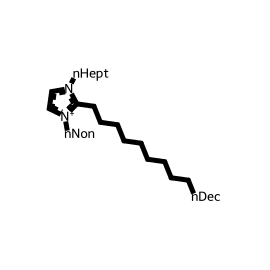 CCCCCCCCCCCCCCCCCCCc1n(CCCCCCC)cc[n+]1CCCCCCCCC